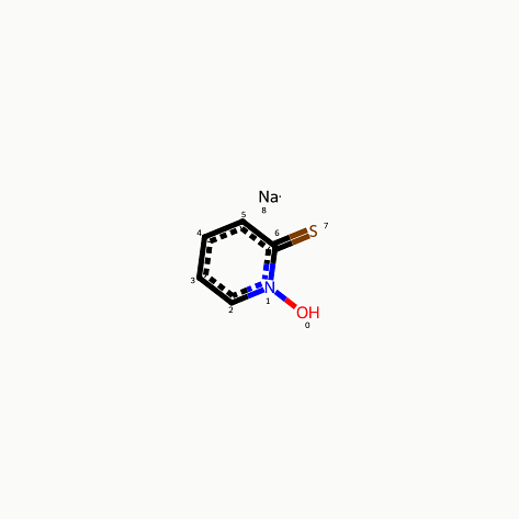 On1ccccc1=S.[Na]